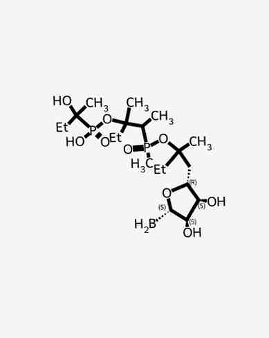 B[C@@H]1O[C@H](CC(C)(CC)OP(C)(=O)C(C)C(C)(CC)OP(=O)(O)C(C)(O)CC)[C@@H](O)[C@H]1O